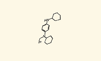 CC(C)CN(c1ccc(NC2CCCCC2)cc1)C1CCCCC1